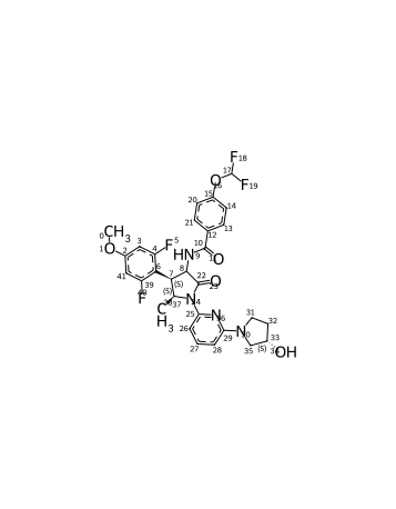 COc1cc(F)c([C@H]2C(NC(=O)c3ccc(OC(F)F)cc3)C(=O)N(c3cccc(N4CC[C@H](O)C4)n3)[C@H]2C)c(F)c1